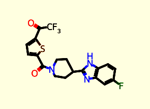 O=C(c1ccc(C(=O)C(F)(F)F)s1)N1CCC(c2nc3cc(F)ccc3[nH]2)CC1